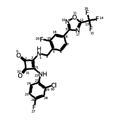 O=c1c(NCc2ccc(-c3noc(C(F)(F)F)n3)cc2F)c(Nc2ccc(F)cc2Cl)c1=O